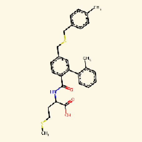 CSCCC(NC(=O)c1ccc(CSCc2ccc(C)cc2)cc1-c1ccccc1C)C(=O)O